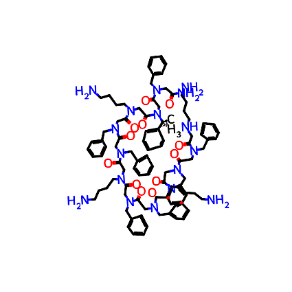 C[C@@H](c1ccccc1)N(CC(=O)N(CC(N)=O)Cc1ccccc1)C(=O)CN(CCCCN)C(=O)CN(Cc1ccccc1)C(=O)CN(Cc1ccccc1)C(=O)CN(CCCCN)C(=O)CN(Cc1ccccc1)C(=O)CN(Cc1ccccc1)C(=O)CN(CCCCN)C(=O)CN(Cc1ccccc1)C(=O)CN(Cc1ccccc1)C(=O)CNCCCCN